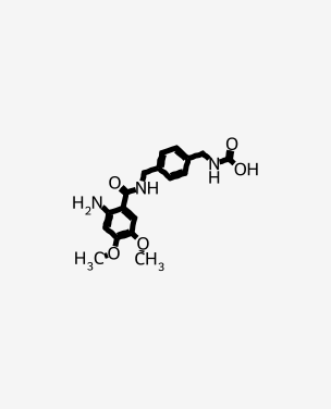 COc1cc(N)c(C(=O)NCc2ccc(CNC(=O)O)cc2)cc1OC